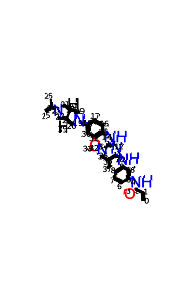 C=CC(=O)Nc1cccc(Nc2nc(Nc3ccc(N4C[C@H]5CN(C(=C)C)C[C@H]5C4)cc3OC)ncc2C)c1